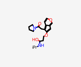 CC(C)NC(O)CCOc1cc2coccc-2c1CC(=O)N1CCCC1